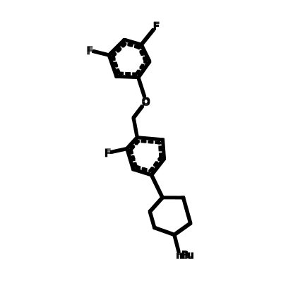 CCCCC1CCC(c2ccc(COc3cc(F)cc(F)c3)c(F)c2)CC1